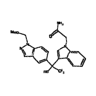 COCn1ncc2cc(C(O)(c3cn(CC(N)=O)c4ccccc34)C(F)(F)F)ccc21